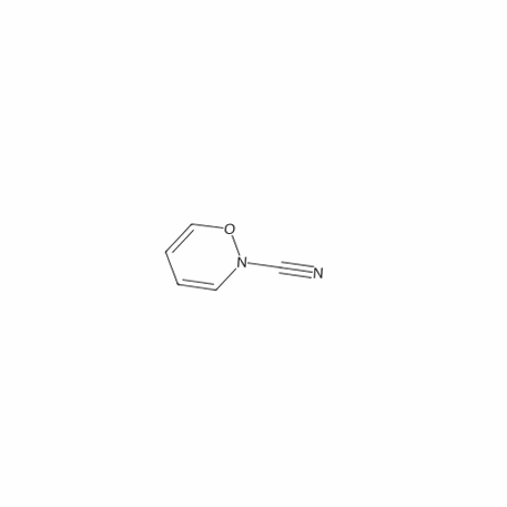 N#CN1C=CC=CO1